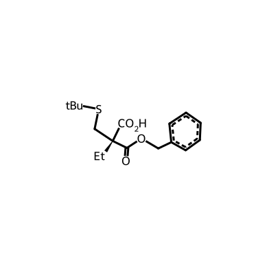 CC[C@@](CSC(C)(C)C)(C(=O)O)C(=O)OCc1ccccc1